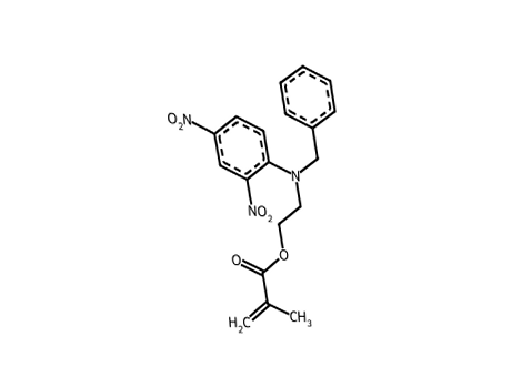 C=C(C)C(=O)OCCN(Cc1ccccc1)c1ccc([N+](=O)[O-])cc1[N+](=O)[O-]